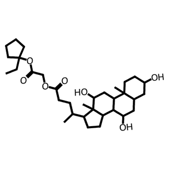 CCC1(OC(=O)COC(=O)CCC(C)C2CCC3C4C(O)CC5CC(O)CCC5(C)C4CC(O)C23C)CCCC1